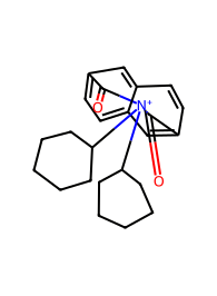 O=C1c2ccc3cc(ccc3c2)C(=O)[N+]1(C1CCCCC1)C1CCCCC1